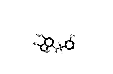 CNc1ccc(NS(=O)(=O)c2cccc(C#N)c2)c2[nH]cc(C#N)c12